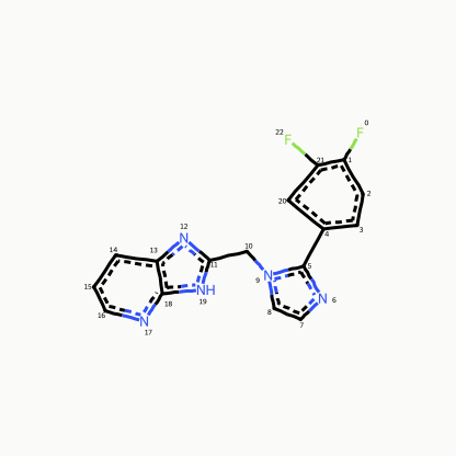 Fc1ccc(-c2nccn2Cc2nc3cccnc3[nH]2)cc1F